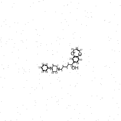 OC(CCCCN1CCN(c2ccccc2)CC1)c1ccc2c(c1)OCC=CO2